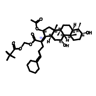 CC(=O)O[C@H]1C[C@@]2(C)[C@@H](C[C@@H](O)[C@H]3[C@@]4(C)CC[C@@H](O)[C@@H](C)[C@@H]4CC[C@@]32C)/C1=C(\CCC=C1CCCCC1)C(=O)OCOC(=O)C(C)(C)C